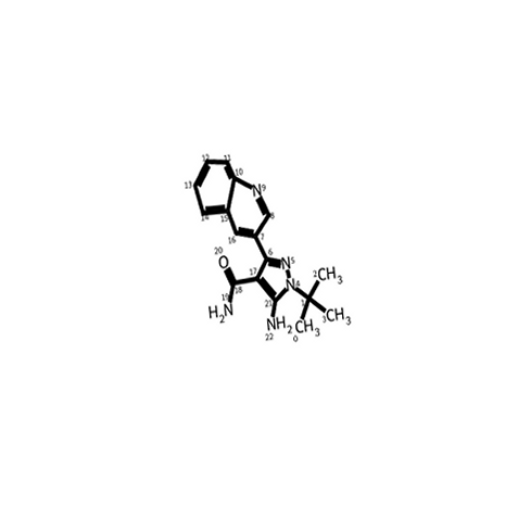 CC(C)(C)n1nc(-c2cnc3ccccc3c2)c(C(N)=O)c1N